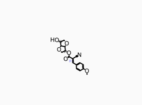 COc1ccc(/C=C(\C#N)C(=O)O[C@@H]2COC3C2OC[C@@H]3O)cc1